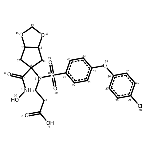 O=C(O)CCN(C1(C(=O)NO)CC2OCOC2C1)S(=O)(=O)c1ccc(Oc2ccc(Cl)cc2)cc1